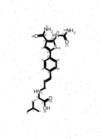 CC(C)C[C@H](NCC=Cc1ccc(-c2cc(C(N)=O)c(NC(N)=O)s2)cc1)C(=O)O